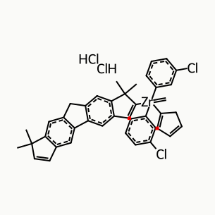 Cl.Cl.[CH2]=[Zr]([C]1=CC=CC1)([C]1=Cc2cc3c(cc2C1(C)C)Cc1cc2c(cc1-3)C=CC2(C)C)([c]1cccc(Cl)c1)[c]1cccc(Cl)c1